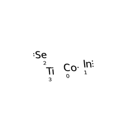 [Co].[In].[Se].[Ti]